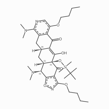 CCCCOc1cnc(N(C)C)c2c1C(=O)C1=C(O)[C@]3(O[Si](C)(C)C(C)(C)C)C(=O)c4c(OCCCC)noc4[C@@H](N(C)C)[C@@H]3C[C@@H]1C2